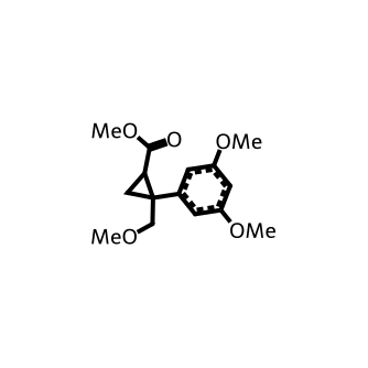 COCC1(c2cc(OC)cc(OC)c2)CC1C(=O)OC